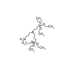 CCO[Si](CCCN(CCCN)CCC[Si](OCC)(OCC)OCC)(OCC)OCC